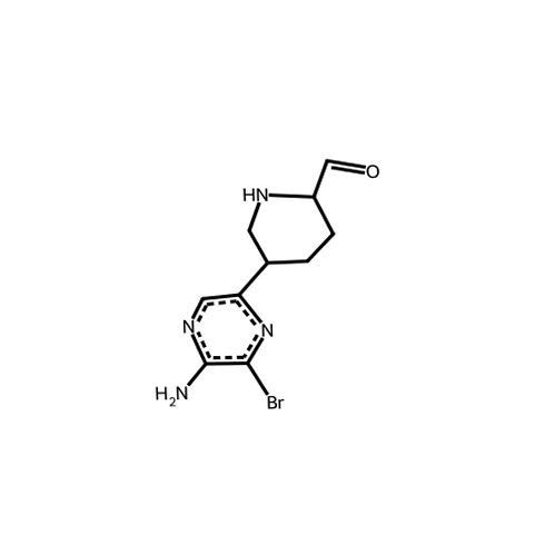 Nc1ncc(C2CCC(C=O)NC2)nc1Br